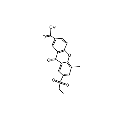 CCS(=O)(=O)c1cc(C)c2oc3ccc(C(=O)O)cc3c(=O)c2c1